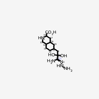 NN/N=C(\N)C(O)(O)CC1CCC2CNC(C(=O)O)CC2C1